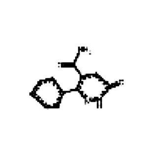 NC(=O)c1cc(=O)[nH]nc1-c1ccccc1